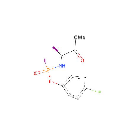 COC(=O)[C@H](I)NP(=O)(I)Oc1ccc(F)cc1